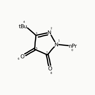 CCCN1N=C(C(C)(C)C)C(=O)C1=O